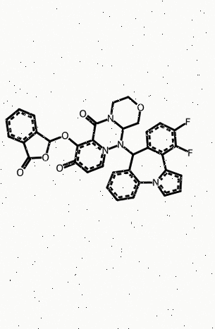 O=C1OC(Oc2c3n(ccc2=O)N(C2c4ccccc4-n4cccc4-c4c2ccc(F)c4F)C2COCCN2C3=O)c2ccccc21